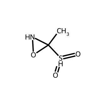 CC1([SH](=O)=O)NO1